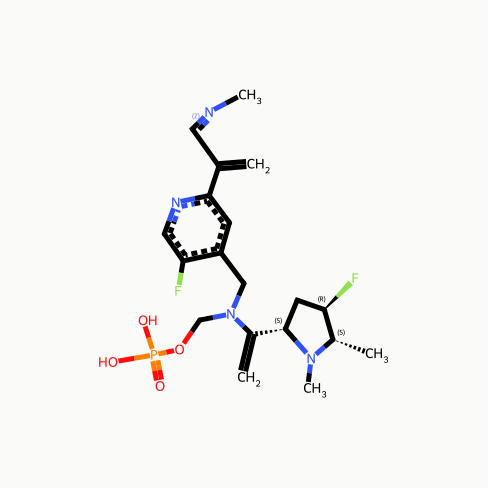 C=C(/C=N\C)c1cc(CN(COP(=O)(O)O)C(=C)[C@@H]2C[C@@H](F)[C@H](C)N2C)c(F)cn1